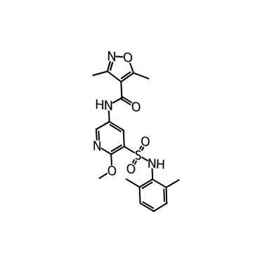 COc1ncc(NC(=O)c2c(C)noc2C)cc1S(=O)(=O)Nc1c(C)cccc1C